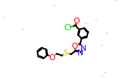 O=C(Cl)c1cccc(-c2nnc(CSCCOc3ccccc3)o2)c1